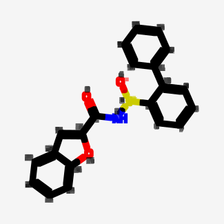 O=C(N[S+]([O-])c1ccccc1-c1ccccc1)c1cc2ccccc2o1